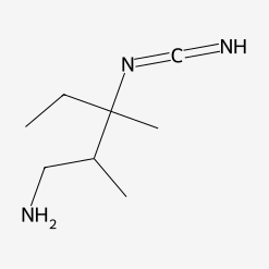 CCC(C)(N=C=N)C(C)CN